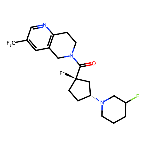 CC(C)[C@]1(C(=O)N2CCc3ncc(C(F)(F)F)cc3C2)CC[C@@H](N2CCCC(F)C2)C1